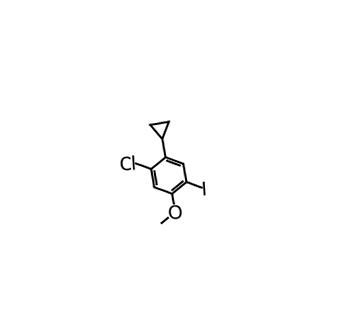 COc1cc(Cl)c(C2CC2)cc1I